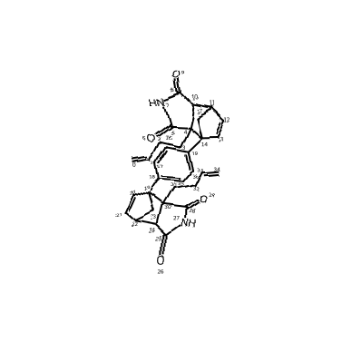 C=CCCC12C(=O)NC(=O)C1C1C=CC2(c2ccc(C34C=CC(C3)C3C(=O)NC(=O)C34CCC=C)cc2)C1